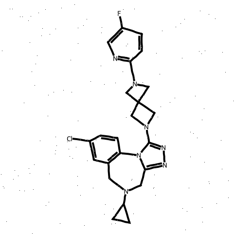 Fc1ccc(N2CC3(C2)CN(c2nnc4n2-c2ccc(Cl)cc2CN(C2CC2)C4)C3)nc1